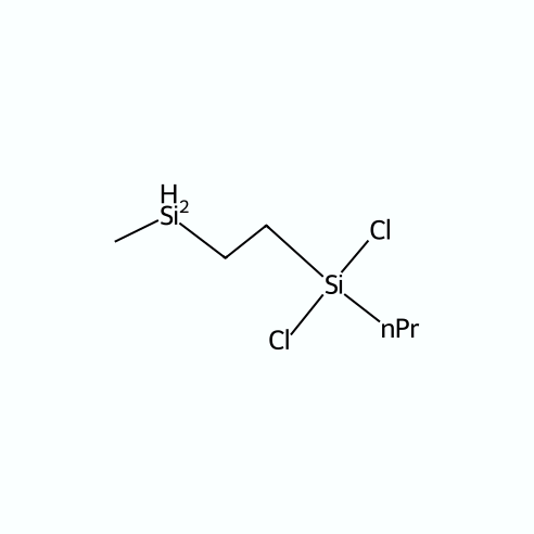 CCC[Si](Cl)(Cl)CC[SiH2]C